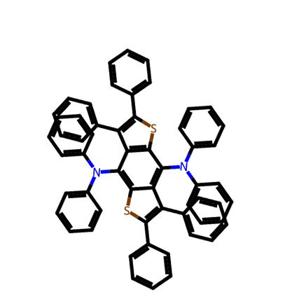 c1ccc(-c2sc3c(N(c4ccccc4)c4ccccc4)c4c(-c5ccccc5)c(-c5ccccc5)sc4c(N(c4ccccc4)c4ccccc4)c3c2-c2ccccc2)cc1